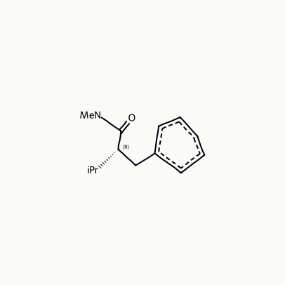 CNC(=O)[C@H](Cc1ccccc1)C(C)C